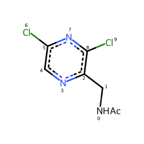 CC(=O)NCc1ncc(Cl)nc1Cl